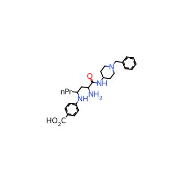 CCCC(CC(N)C(=O)NC1CCN(Cc2ccccc2)CC1)Nc1ccc(C(=O)O)cc1